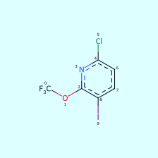 FC(F)(F)Oc1nc(Cl)ccc1I